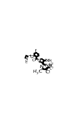 CC1=N/C(=C2\CN(C(=O)c3ccc(F)cc3OC[C@H]3CCN3)CC2N)NC(C)=C1Cl